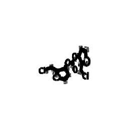 O=C(OC1CCOC1CCl)OC1CCOC1CCl